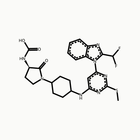 CSc1nc(NC2CCC(N3CC[C@@H](NC(=O)O)C3=O)CC2)cc(-n2c(C(F)F)nc3ccccc32)n1